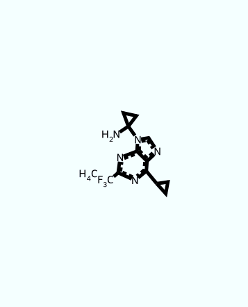 C.NC1(n2cnc3c(C4CC4)nc(C(F)(F)F)nc32)CC1